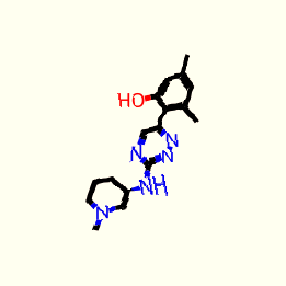 Cc1cc(C)c(-c2cnc(N[C@@H]3CCCN(C)C3)nn2)c(O)c1